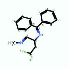 C/N=C/C(CC(F)F)N=C(c1ccccc1)c1ccccc1